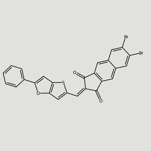 O=C1C(=Cc2cc3oc(-c4ccccc4)cc3s2)C(=O)c2cc3cc(Br)c(Br)cc3cc21